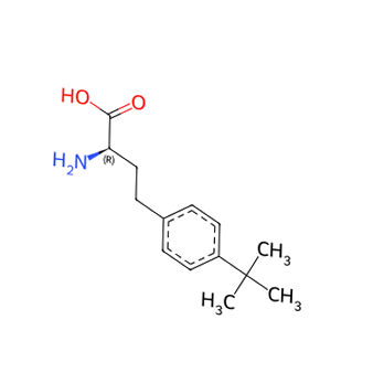 CC(C)(C)c1ccc(CC[C@@H](N)C(=O)O)cc1